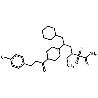 CCN(CC(CC1CCCCC1)N1CCN(C(=O)[CH]Cc2ccc(Cl)cc2)CC1)S(=O)(=O)C(N)=O